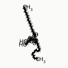 CC/C=C\C/C=C\C/C=C\C/C=C\CCCCC(=O)O[C@H](COC(=O)CCCCCCCCCCCCCCCCCCCC)COP(=O)(O)OC[C@@H](O)CO